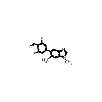 Cc1cc2c(cc1-c1cc(F)c(C=O)c(F)c1)ncn2C